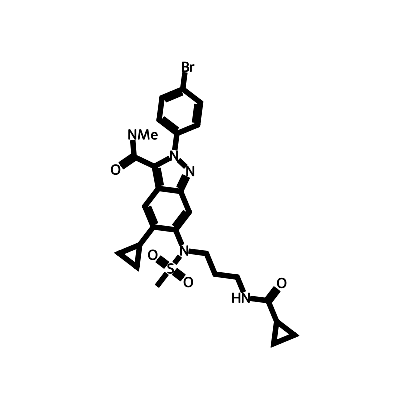 CNC(=O)c1c2cc(C3CC3)c(N(CCCNC(=O)C3CC3)S(C)(=O)=O)cc2nn1-c1ccc(Br)cc1